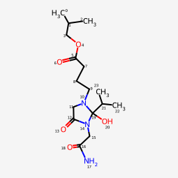 CC(C)COC(=O)CCCN1CC(=O)N(CC(N)=O)C1(O)C(C)C